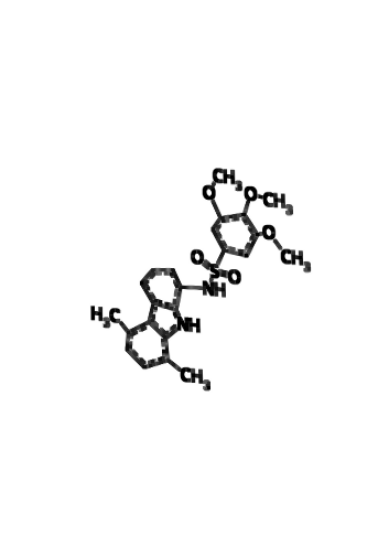 COc1cc(S(=O)(=O)Nc2cccc3c2[nH]c2c(C)ccc(C)c23)cc(OC)c1OC